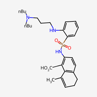 CCCCN(CCCC)CCCNc1ccccc1S(=O)(=O)Nc1ccc2c(c1C(=O)O)C(C)=CCC2